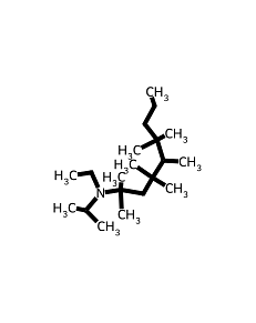 CCCC(C)(C)C(C)C(C)(C)CC(C)(C)N(CC)C(C)C